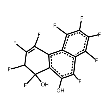 Oc1c2c(c3c(F)c(F)c(F)c(F)c3c1F)C(F)=C(F)C(F)C2(O)F